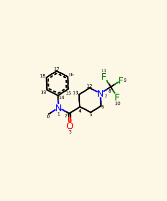 CN(C(=O)C1CCN(C(F)(F)F)CC1)c1ccccc1